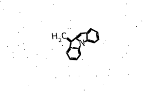 C=c1c2ccccc2n2c1cc1ccccc12